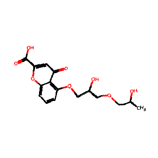 CC(O)COCC(O)COc1cccc2oc(C(=O)O)cc(=O)c12